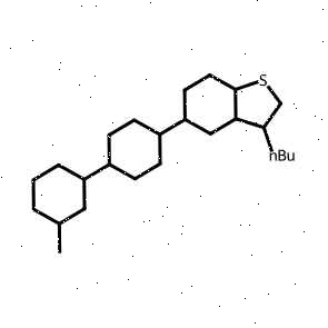 CCCCC1CSC2CCC(C3CCC(C4CCCC(C)C4)CC3)CC12